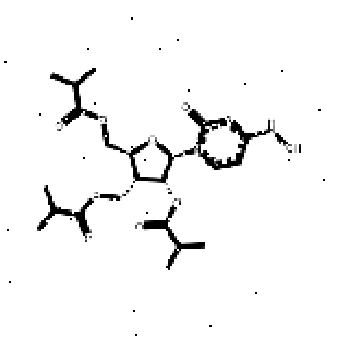 CC(C)C(=O)OC[C@H]1[C@@H](OC(=O)C(C)C)[C@H](n2ccc(NO)nc2=O)O[C@@H]1COC(=O)C(C)C